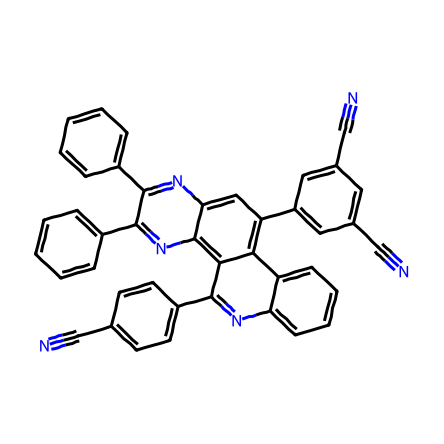 N#Cc1ccc(-c2nc3ccccc3c3c(-c4cc(C#N)cc(C#N)c4)cc4nc(-c5ccccc5)c(-c5ccccc5)nc4c23)cc1